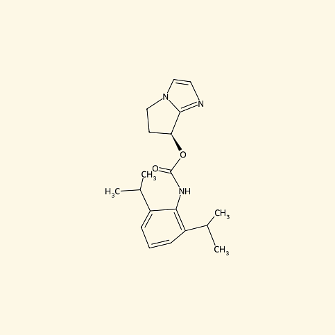 CC(C)c1cccc(C(C)C)c1NC(=O)O[C@H]1CCn2ccnc21